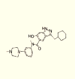 CN1CCN(c2cccc(N(C)C(=O)c3cc4c(CC5CCCCC5)n[nH]c4cc3O)c2)CC1